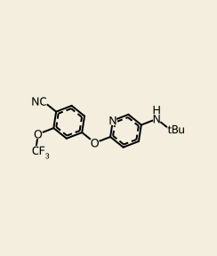 CC(C)(C)Nc1ccc(Oc2ccc(C#N)c(OC(F)(F)F)c2)nc1